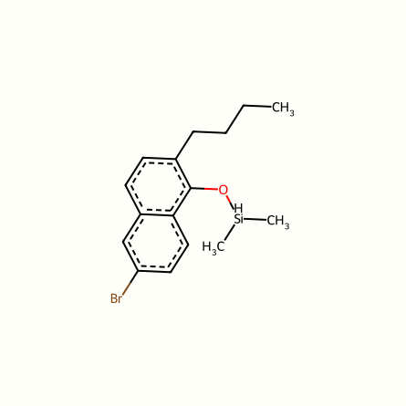 CCCCc1ccc2cc(Br)ccc2c1O[SiH](C)C